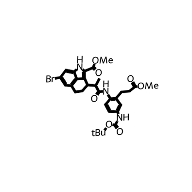 COC(=O)CCc1cc(NC(=O)OC(C)(C)C)ccc1NC(=O)C(C)C1CCc2cc(Br)cc3[nH]c(C(=O)OC)c1c23